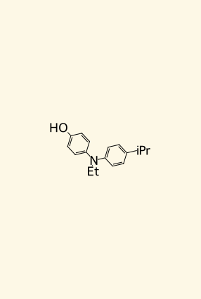 CCN(c1ccc(O)cc1)c1ccc(C(C)C)cc1